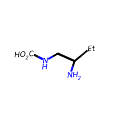 CCC(N)CNC(=O)O